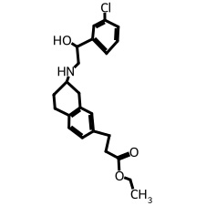 CCOC(=O)CCc1ccc2c(c1)CC(NCC(O)c1cccc(Cl)c1)CC2